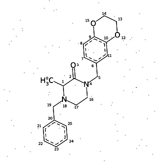 CC1C(=O)N(Cc2ccc3c(c2)OCCO3)CCN1Cc1ccccc1